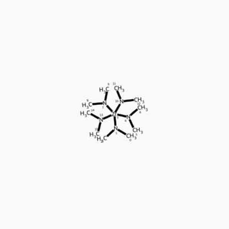 C[N](C)[Zr]([N](C)C)([N](C)C)([N](C)C)[N](C)C